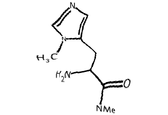 CNC(=O)C(N)Cc1cncn1C